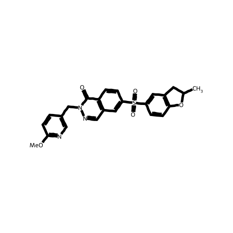 COc1ccc(Cn2ncc3cc(S(=O)(=O)c4ccc5c(c4)CC(C)O5)ccc3c2=O)cn1